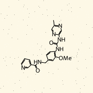 COc1cc(CNC(=O)c2cccnc2)ccc1NC(=O)Nc1cnc(C)cn1